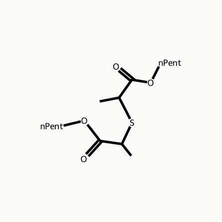 CCCCCOC(=O)C(C)SC(C)C(=O)OCCCCC